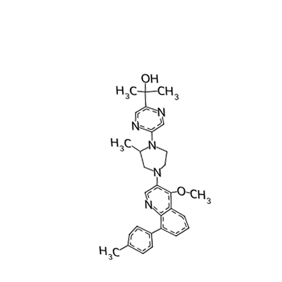 COc1c(N2CCN(c3cnc(C(C)(C)O)cn3)C(C)C2)cnc2c(-c3ccc(C)cc3)cccc12